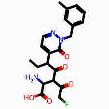 CCC(C(=O)C(C(=O)CF)C(N)C(=O)O)c1ccnn(Cc2cccc(C)c2)c1=O